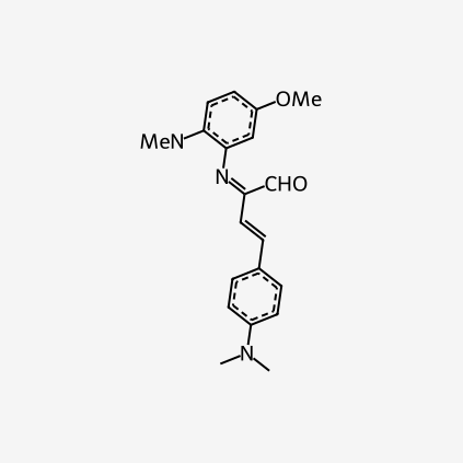 CNc1ccc(OC)cc1/N=C(C=O)/C=C/c1ccc(N(C)C)cc1